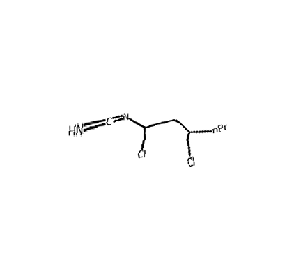 CCCC(Cl)CC(Cl)N=C=N